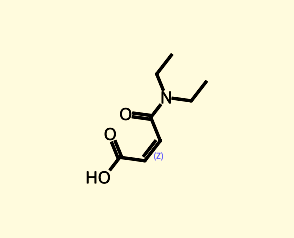 CCN(CC)C(=O)/C=C\C(=O)O